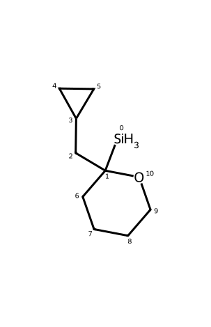 [SiH3]C1(CC2CC2)CCCCO1